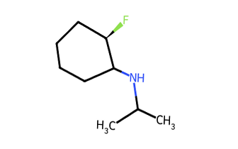 CC(C)NC1CCCC[C@H]1F